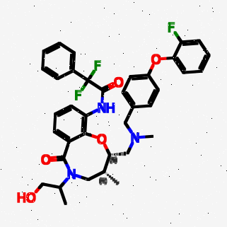 CC(CO)N1C[C@@H](C)[C@@H](CN(C)Cc2ccc(Oc3ccccc3F)cc2)Oc2c(NC(=O)C(F)(F)c3ccccc3)cccc2C1=O